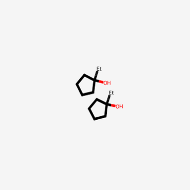 CCC1(O)CCCC1.CCC1(O)CCCC1